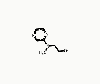 CN(CC[O])c1cnccn1